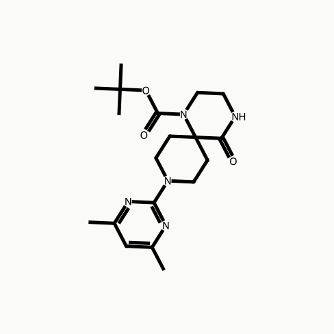 Cc1cc(C)nc(N2CCC3(CC2)C(=O)NCCN3C(=O)OC(C)(C)C)n1